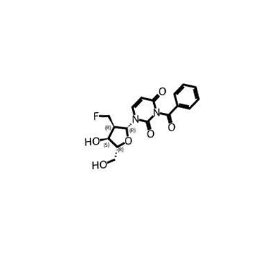 O=C(c1ccccc1)n1c(=O)ccn([C@@H]2O[C@H](CO)[C@@H](O)[C@H]2CF)c1=O